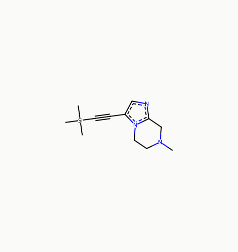 CN1CCn2c(C#C[Si](C)(C)C)cnc2C1